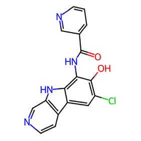 O=C(Nc1c(O)c(Cl)cc2c1[nH]c1cnccc12)c1cccnc1